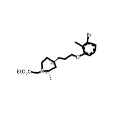 CCOC(=O)CN1CC[C@@H](CCCOc2cccc(Br)c2C)C[C@@H]1C